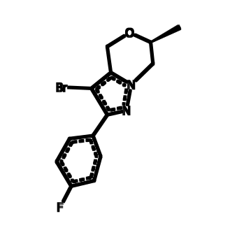 C[C@H]1Cn2nc(-c3ccc(F)cc3)c(Br)c2CO1